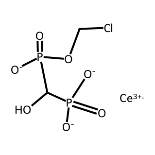 O=P([O-])([O-])C(O)P(=O)([O-])OCCl.[Ce+3]